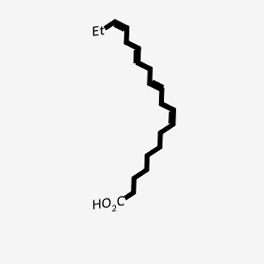 CC/C=C\C/C=C/C/C=C/C/C=C\CCCCCCC(=O)O